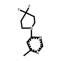 Cc1cc(N2CCC(F)(F)CC2)ncn1